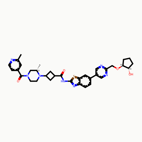 Cc1cc(C(=O)N2CCN(C3CC(C(=O)Nc4nc5ccc(-c6cnc(CO[C@H]7CCC[C@@H]7O)nc6)cc5s4)C3)[C@@H](C)C2)ccn1